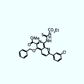 CCOC(=O)NC(=S)Nc1nc(C(=O)OC)c(OCc2ccccc2)c2ccc(-c3cccc(Cl)c3)nc12